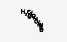 C=CC(=O)OCCOCCN=C=O